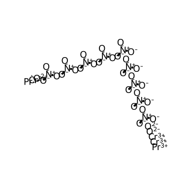 O=[N+]([O-])[O-].O=[N+]([O-])[O-].O=[N+]([O-])[O-].O=[N+]([O-])[O-].O=[N+]([O-])[O-].O=[N+]([O-])[O-].O=[N+]([O-])[O-].O=[N+]([O-])[O-].O=[N+]([O-])[O-].[Cr+3].[Cr+3].[Cr+3].[O-2].[O-2].[O-2].[Pr+3].[Pr+3]